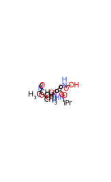 CC(C)CCNC(=O)OCC1c2cc(NC(=O)CCO)ccc2-c2ccc(NC(=O)CCOC(C)(C)CCOC(C)(C)CCN=C=O)cc21